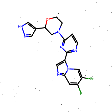 Fc1cc2ncc(-c3nccc(N4CCOC(c5cn[nH]c5)C4)n3)n2cc1Br